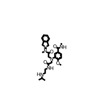 CNC(=O)c1ccc(OC)c(N(CC(=O)NCCNC(C)C)CC(=O)N(C)N2Cc3ccccc3C2)c1